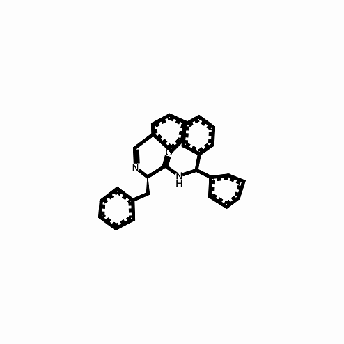 O=C(NC(c1ccccc1)c1ccccc1)[C@@H](Cc1ccccc1)/N=C\c1ccccc1